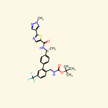 C[C@@H](NC(=O)c1cnc(-c2cnn(C)c2)s1)c1ccc(-c2cc(C(F)(F)F)ccc2CNC(=O)OC(C)(C)C)cc1